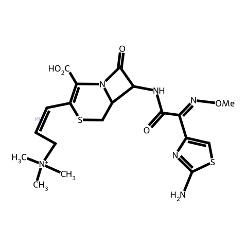 CON=C(C(=O)NC1C(=O)N2C(C(=O)O)=C(/C=C\C[N+](C)(C)C)SCC12)c1csc(N)n1